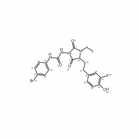 CCN1C(=O)N(NC(=O)Nc2ccc(Br)cc2)C(=O)C1CCc1ccc(O)c(F)c1